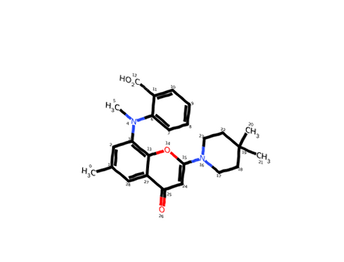 Cc1cc(N(C)c2ccccc2C(=O)O)c2oc(N3CCC(C)(C)CC3)cc(=O)c2c1